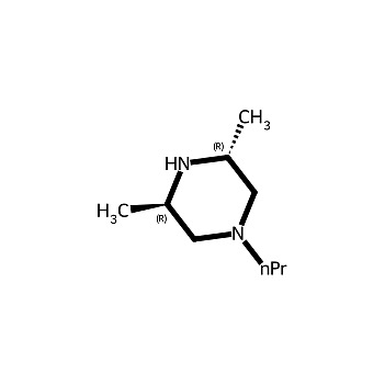 [CH2]CCN1C[C@@H](C)N[C@H](C)C1